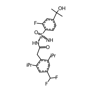 CC(C)c1cc(C(F)F)cc(C(C)C)c1CC(=O)N[S@@](=N)(=O)c1ccc(C(C)(C)O)cc1F